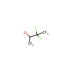 [O]C(C(F)(F)F)C(F)(F)C(F)(F)F